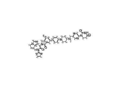 CN(Cc1cnc(N2CCC(=O)NC2=O)cn1)C1CCN(c2ccc(-c3cc(F)c4c(c3)C(=O)N(C(C(=O)Nc3nccs3)c3ncn5c3CCC5)C4)cc2)CC1